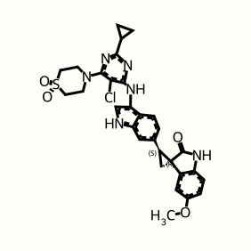 COc1ccc2c(c1)[C@]1(C[C@H]1c1ccc3c(Nc4nc(C5CC5)nc(N5CCS(=O)(=O)CC5)c4Cl)c[nH]c3c1)C(=O)N2